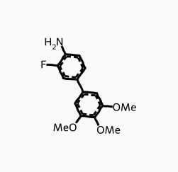 COc1cc(-c2ccc(N)c(F)c2)cc(OC)c1OC